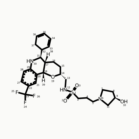 O=S(=O)(CCCN1CC[C@@H](O)C1)NC[C@H]1CC[C@@H]2[C@H](O1)c1cc(C(F)(F)F)ccc1N[C@H]2C1C=CC=CC1